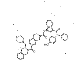 O=C(On1cc(C(=O)N(c2ccccc2)c2ccc(O)cc2)c2ccccc21)N1CCc2ccc(C(=O)N3Cc4ccccc4C[C@H]3CN3CCOCC3)cc2C1